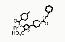 CC1CCC(C(=O)N(c2cc(C3=CCN(C(=O)OCc4ccccc4)CC3)sc2C(=O)O)C(C)C)CC1